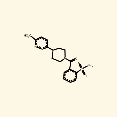 NS(=O)(=O)c1ccccc1C(=O)N1CCN(c2ccc(C(=O)O)nn2)CC1